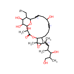 C/C(=C/C(C)C(O)C(C)CO)C1OC1(C)C1OC(=O)C(C)C2(O)OC(/C=C/CC(O)/C=C\CCC1C)C(CC(C)C)C(O)C2O